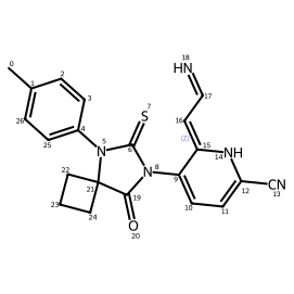 Cc1ccc(N2C(=S)N(C3=CC=C(C#N)N/C3=C\C=N)C(=O)C23CCC3)cc1